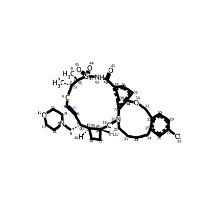 C[C@@H]1[C@@H](C)C/C=C/[C@@H](CN2CCOCC2)[C@@H]2CC[C@H]2CN2CCCCc3cc(Cl)ccc3COc3ccc(cc32)C(=O)NS1(=O)=O